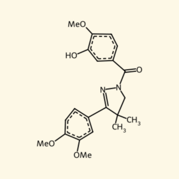 COc1ccc(C(=O)N2CC(C)(C)C(c3ccc(OC)c(OC)c3)=N2)cc1O